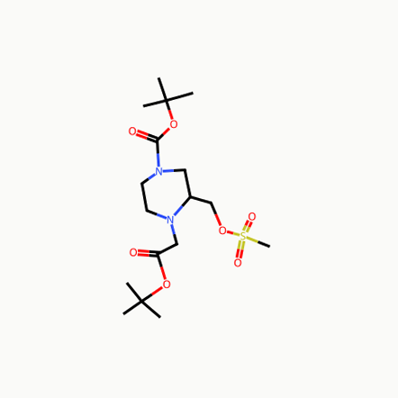 CC(C)(C)OC(=O)CN1CCN(C(=O)OC(C)(C)C)CC1COS(C)(=O)=O